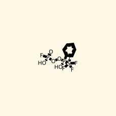 O=P(O)(F)OOP(O)(c1ccccc1)=S(F)(F)(F)F